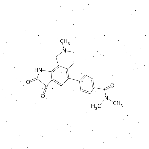 CN1CCc2c(-c3ccc(C(=O)N(C)C)cc3)cc3c(c2C1)NC(=O)C3=O